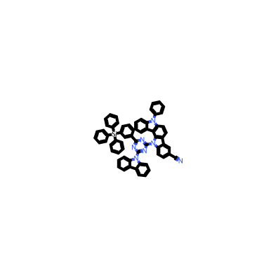 N#Cc1ccc2c(c1)c1ccc3c(c4ccccc4n3-c3ccccc3)c1n2-c1nc(-c2cccc([Si](c3ccccc3)(c3ccccc3)c3ccccc3)c2)nc(-n2c3ccccc3c3ccccc32)n1